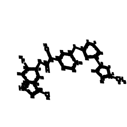 Cn1cc(-c2cccc(Cc3cc(C(=O)NCc4cc5c(Cl)c[nH]c5cc4F)ccn3)c2)cn1